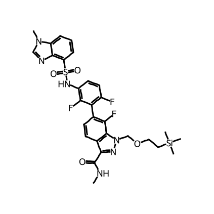 CNC(=O)c1nn(COCC[Si](C)(C)C)c2c(F)c(-c3c(F)ccc(NS(=O)(=O)c4cccc5c4ncn5C)c3F)ccc12